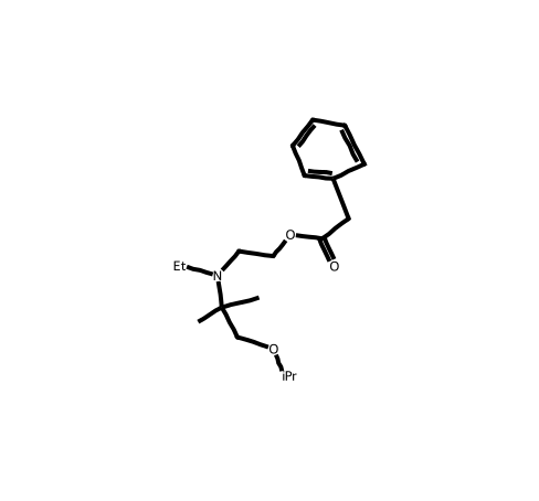 CCN(CCOC(=O)Cc1ccccc1)C(C)(C)COC(C)C